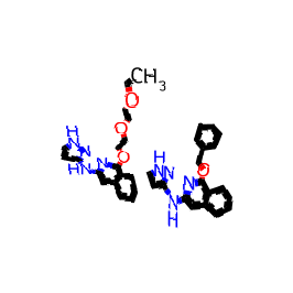 CCOCCOCCOc1nc(Nc2cc[nH]n2)cc2ccccc12.c1ccc(COc2nc(Nc3cc[nH]n3)cc3ccccc23)cc1